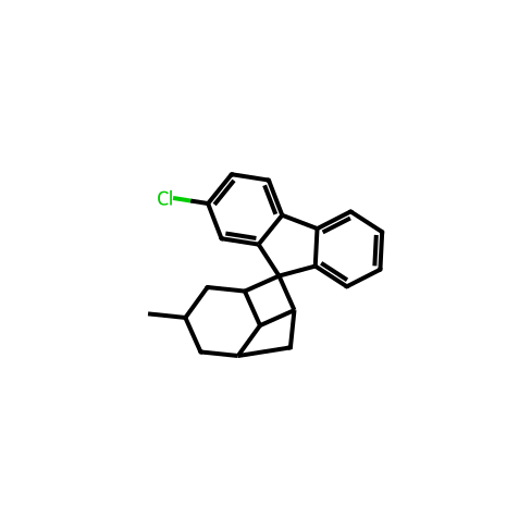 CC1CC2CC3C2C(C1)C31c2ccccc2-c2ccc(Cl)cc21